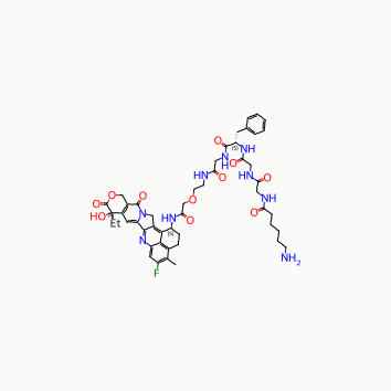 CC[C@@]1(O)C(=O)OCc2c1cc1n(c2=O)Cc2c-1nc1cc(F)c(C)c3c1c2[C@@H](NC(=O)COCCNC(=O)CNC(=O)[C@H](Cc1ccccc1)NC(=O)CNC(=O)CNC(=O)CCCCCN)CC3